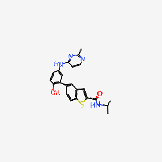 Cc1nccc(Nc2ccc(O)c(-c3ccc4sc(C(=O)NC(C)C)cc4c3)c2)n1